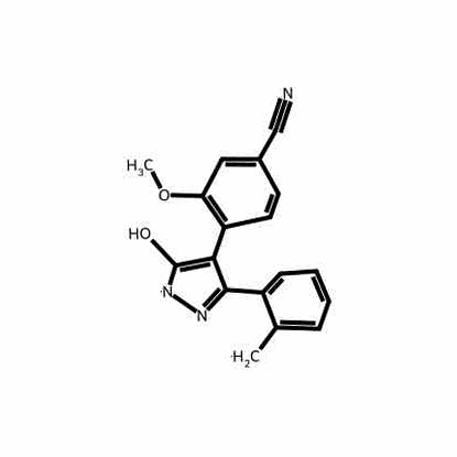 [CH2]c1ccccc1C1=N[N]C(O)=C1c1ccc(C#N)cc1OC